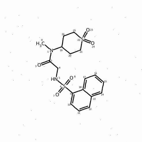 CN(C(=O)CNS(=O)(=O)c1cccc2ccccc12)C1CCS(=O)(=O)CC1